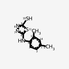 Cc1ccc(Nc2nnc(S)s2)c(C)c1